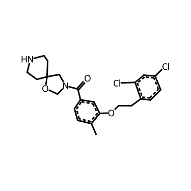 Cc1ccc(C(=O)N2COC3(CCNCC3)C2)cc1OCCc1ccc(Cl)cc1Cl